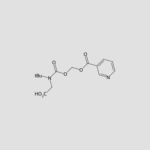 CC(C)(C)N(CC(=O)O)C(=O)OCOC(=O)c1cccnc1